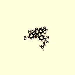 CN(C)CCN(C)C(=O)c1ccc(NC(=C2C(=O)Nc3cc(Br)ccc32)c2ccc3c(c2)OCO3)cc1